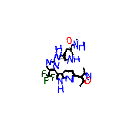 CNC(=O)[C@H]1CNC[C@@H](Nc2ncc(C(F)(F)F)c(-c3c[nH]c4nc(-c5c(C)noc5C)ccc34)n2)C1